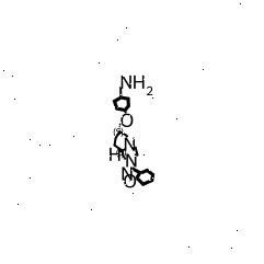 NCc1ccc(OC[C@H]2CC[C@H]3CN(c4noc5ccccc45)CCN3C2)cc1